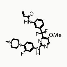 C=CC(=O)Nc1cccc(C(F)(F)c2nc(Nc3ccc(N4CCN(C)CC4)c(F)c3)ncc2OC)c1